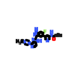 CCCCC(=O)Nc1cncc(-c2cc3c(-c4nc5c(N6CCN(C)CC6)nccc5[nH]4)n[nH]c3cc2F)c1